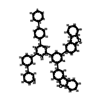 c1ccc(-c2ccc(-c3nc(-c4cccc(-c5cccnc5)c4)nc(-c4cc(-c5ccc6oc7ccccc7c6c5)cc(-c5ccc6oc7ccccc7c6c5)c4)n3)cc2)cc1